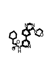 O=S(=O)(CC1CCCCC1)Nc1cncc(-c2ccc3ncnc(N4CCOCC4)c3c2)c1